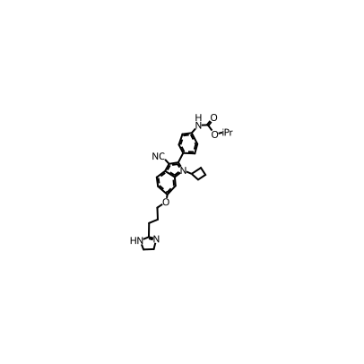 CC(C)OC(=O)Nc1ccc(-c2c(C#N)c3ccc(OCCCC4=NCCN4)cc3n2C2CCC2)cc1